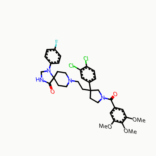 COc1cc(C(=O)N2CCC(CCN3CCC4(CC3)C(=O)NCN4c3ccc(F)cc3)(c3ccc(Cl)c(Cl)c3)C2)cc(OC)c1OC